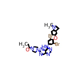 C=CC(=O)N1CCN(c2ncc3ncnc(Nc4cc(Br)c(Oc5ccc6c(ccn6C)c5)c(Br)c4)c3n2)CC1